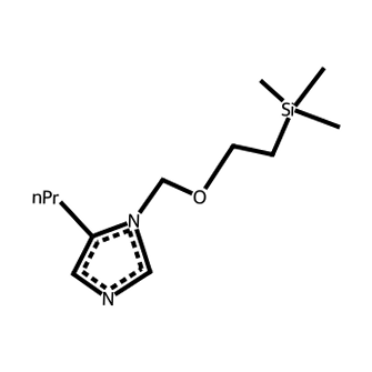 CCCc1cncn1COCC[Si](C)(C)C